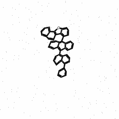 c1ccc(-c2cccc3c(-c4c5ccccc5c(-c5cccc6oc7c8ccccc8ccc7c56)c5ccccc45)cccc23)cc1